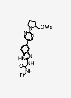 CCNC(=O)Nc1nc2cc(-c3cnc(N4CCCC4COC)nc3)ccc2[nH]1